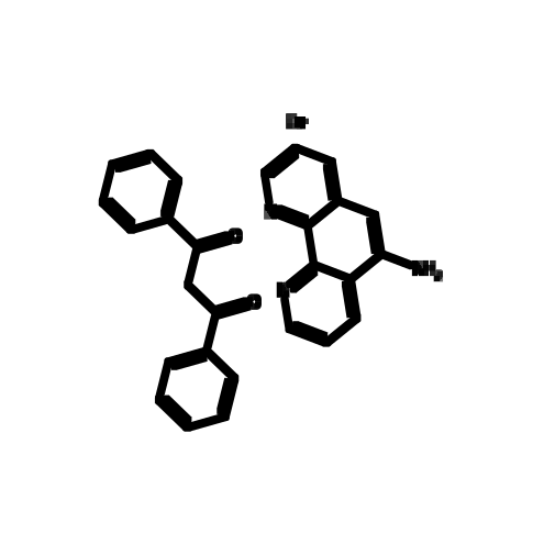 Nc1cc2cccnc2c2ncccc12.O=C(CC(=O)c1ccccc1)c1ccccc1.[Eu]